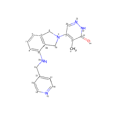 Cc1c(N2Cc3cccc(NCc4ccncc4)c3C2)cn[nH]c1=O